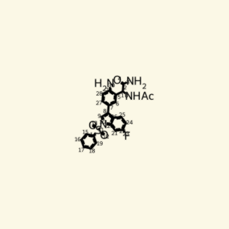 CC(=O)NC(C(N)=O)c1cc(-c2cn(S(=O)(=O)c3ccccc3)c3cc(F)ccc23)ccc1N